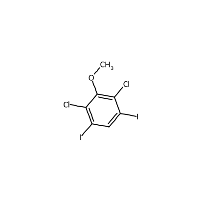 COc1c(Cl)c(I)cc(I)c1Cl